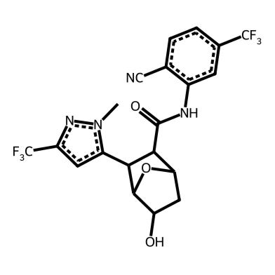 Cn1nc(C(F)(F)F)cc1C1C2OC(CC2O)C1C(=O)Nc1cc(C(F)(F)F)ccc1C#N